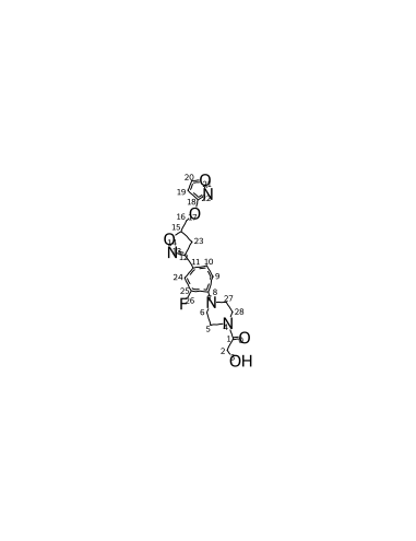 O=C(CO)N1CCN(c2ccc(C3=NOC(COc4ccon4)C3)cc2F)CC1